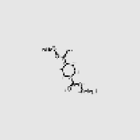 CCCCCCCOC(=O)C1CCC(C(=O)OCCCCCC)CC1